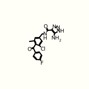 Cc1cc(CNC(=O)c2nn[nH]c2N)cc(Cl)c1C(=O)c1ccc(F)cc1